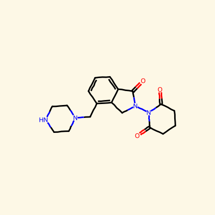 O=C1c2cccc(CN3CCNCC3)c2CN1N1C(=O)CCCC1=O